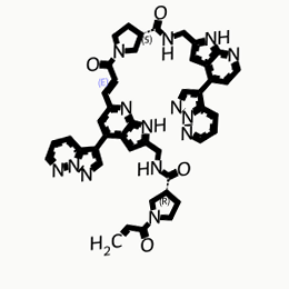 C=CC(=O)N1CC[C@@H](C(=O)NCc2cc3c(-c4cnn5ncccc45)cc(/C=C/C(=O)N4CC[C@H](C(=O)NCc5cc6c(-c7cnn8ncccc78)ccnc6[nH]5)C4)nc3[nH]2)C1